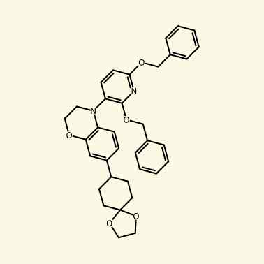 c1ccc(COc2ccc(N3CCOc4cc(C5CCC6(CC5)OCCO6)ccc43)c(OCc3ccccc3)n2)cc1